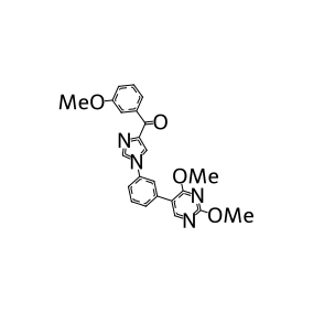 COc1cccc(C(=O)c2cn(-c3cccc(-c4cnc(OC)nc4OC)c3)cn2)c1